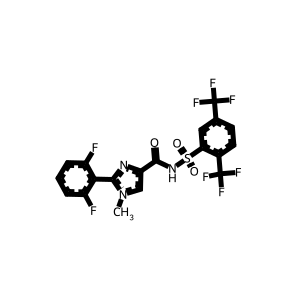 Cn1cc(C(=O)NS(=O)(=O)c2cc(C(F)(F)F)ccc2C(F)(F)F)nc1-c1c(F)cccc1F